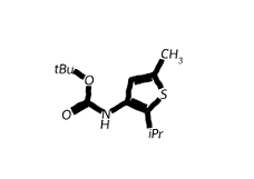 Cc1cc(NC(=O)OC(C)(C)C)c(C(C)C)s1